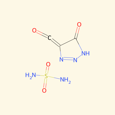 NS(N)(=O)=O.O=C=C1N=NNC1=O